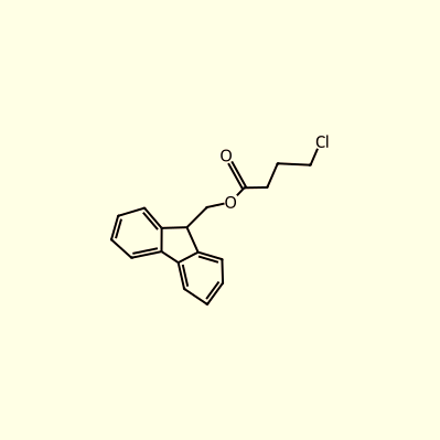 O=C(CCCCl)OCC1c2ccccc2-c2ccccc21